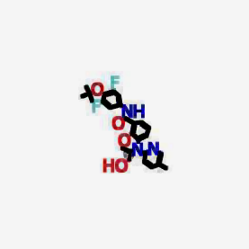 Cc1ccc(N2c3cccc(C(=O)Nc4cc(F)c(OC(C)(C)C)c(F)c4)c3OC[C@@H]2CO)nc1